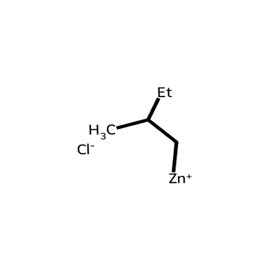 CCC(C)[CH2][Zn+].[Cl-]